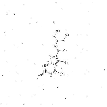 Cc1c(C(=O)NC(CO)CO)sc2[nH]c(=O)nc(N)c12